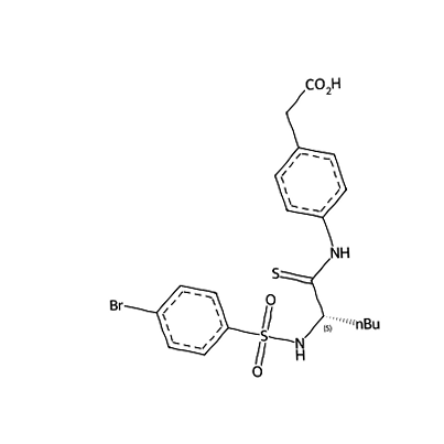 CCCC[C@H](NS(=O)(=O)c1ccc(Br)cc1)C(=S)Nc1ccc(CC(=O)O)cc1